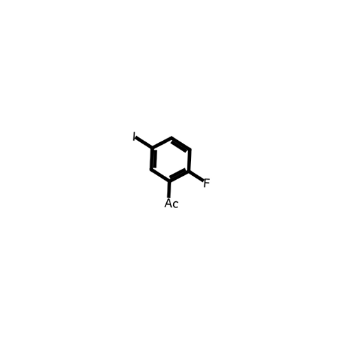 CC(=O)c1cc(I)ccc1F